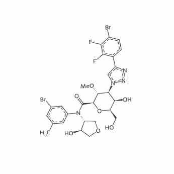 CO[C@@H]1[C@@H](n2cc(-c3ccc(Br)c(F)c3F)nn2)[C@@H](O)[C@@H](CO)O[C@H]1C(=O)N(c1cc(C)cc(Br)c1)[C@@H]1COC[C@H]1O